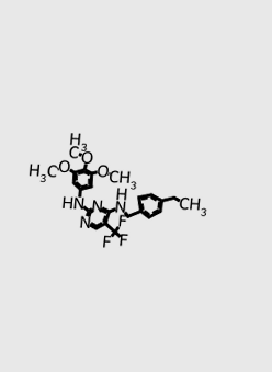 CCc1ccc(CNc2nc(Nc3cc(OC)c(OC)c(OC)c3)ncc2C(F)(F)F)cc1